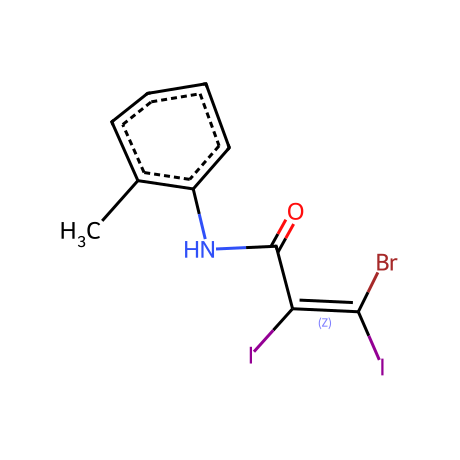 Cc1ccccc1NC(=O)/C(I)=C(\Br)I